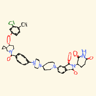 N#Cc1ccc(OC2CCN(C(=O)c3ccc(N4CCN(C5CCN(c6ccc7c(c6)C(=O)N(C6CCC(=O)NC6=O)C7=O)CC5)CC4)cc3)CC23CC3)cc1Cl